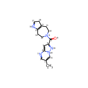 Cc1cnc2cc(C(=O)N3CCC4=C(CC3)N=CC4)nn2c1